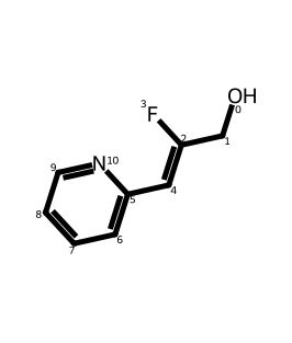 OC/C(F)=C/c1ccccn1